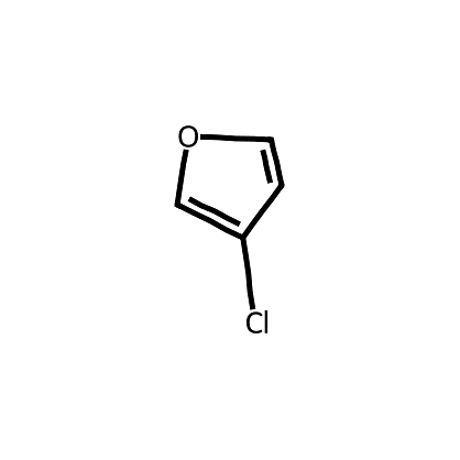 Clc1ccoc1